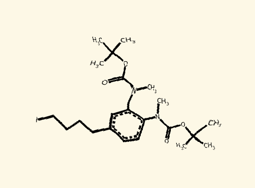 CN(C(=O)OC(C)(C)C)c1ccc(CCCCI)cc1N(C)C(=O)OC(C)(C)C